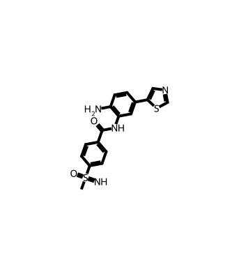 CS(=N)(=O)c1ccc(C(=O)Nc2cc(-c3cncs3)ccc2N)cc1